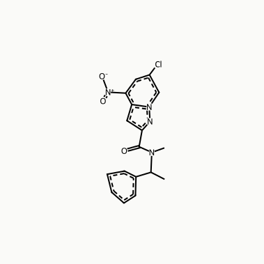 CC(c1ccccc1)N(C)C(=O)c1cc2c([N+](=O)[O-])cc(Cl)cn2n1